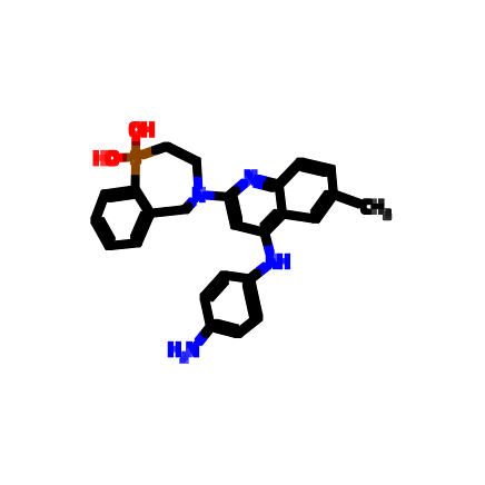 Cc1ccc2nc(N3CCS(O)(O)c4ccccc4C3)cc(Nc3ccc(N)cc3)c2c1